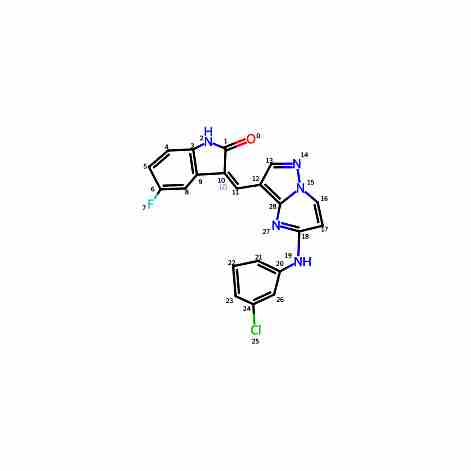 O=C1Nc2ccc(F)cc2/C1=C/c1cnn2ccc(Nc3cccc(Cl)c3)nc12